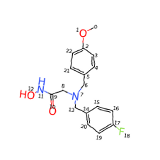 COc1ccc(CN(CC(=O)NO)Cc2ccc(F)cc2)cc1